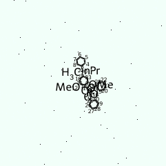 CCCC(C)(c1ccccc1)c1cc(OC)c(OP(=O)(Oc2ccccc2)Oc2ccccc2)c(OC)c1